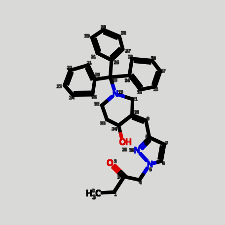 CCC(=O)Cn1ccc(/C=C2/CN(C(c3ccccc3)(c3ccccc3)c3ccccc3)CCC2O)n1